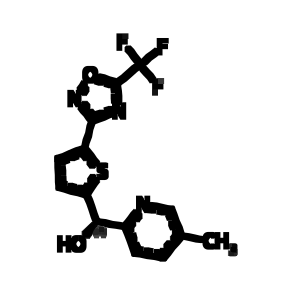 Cc1ccc([C@@H](O)c2ccc(-c3noc(C(F)(F)F)n3)s2)nc1